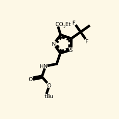 CCOC(=O)c1nc(CNC(=O)OC(C)(C)C)sc1C(C)(F)F